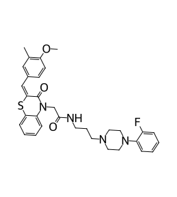 COc1ccc(/C=C2/Sc3ccccc3N(CC(=O)NCCCN3CCN(c4ccccc4F)CC3)C2=O)cc1C